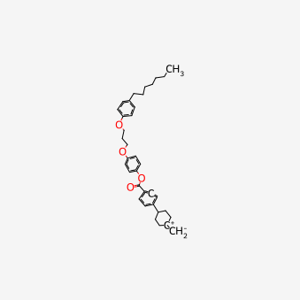 [CH2-][C+]1CCC(c2ccc(C(=O)Oc3ccc(OCCCOc4ccc(CCCCCCC)cc4)cc3)cc2)CC1